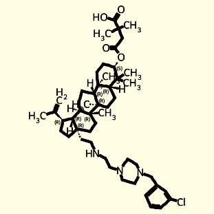 C=C(C)[C@@H]1CC[C@]2(CCNCCN3CCN(Cc4cccc(Cl)c4)CC3)CC[C@]3(C)[C@H](CC[C@@H]4[C@@]5(C)CC[C@H](OC(=O)CC(C)(C)C(=O)O)C(C)(C)[C@@H]5CC[C@]43C)[C@@H]12